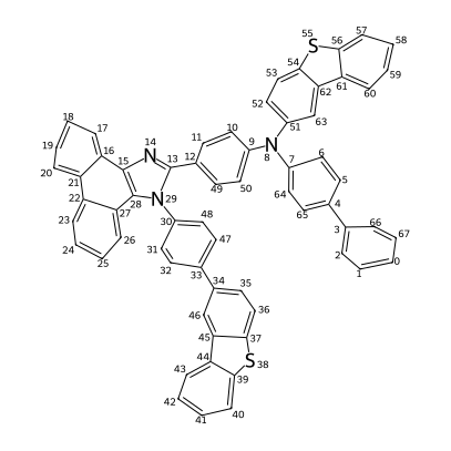 c1ccc(-c2ccc(N(c3ccc(-c4nc5c6ccccc6c6ccccc6c5n4-c4ccc(-c5ccc6sc7ccccc7c6c5)cc4)cc3)c3ccc4sc5ccccc5c4c3)cc2)cc1